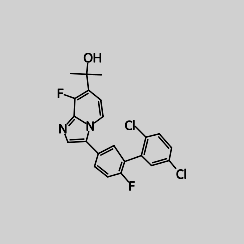 CC(C)(O)c1ccn2c(-c3ccc(F)c(-c4cc(Cl)ccc4Cl)c3)cnc2c1F